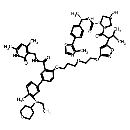 CCN(c1cc(-c2ccc(OCCCOCCOc3cc(C(C(=O)N4C[C@H](O)C[C@H]4C(=O)N[C@@H](C)c4ccc(-c5scnc5C)cc4)C(C)C)on3)c(C(=O)NCc3c(C)cc(C)[nH]c3=O)c2)ccc1C)C1CCOCC1